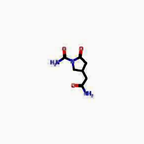 NC(=O)CC1CC(=O)N(C(N)=O)C1